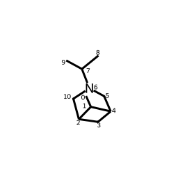 CC1C2CC1CN(C(C)C)C2